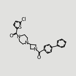 O=C(c1ccc(-c2ccccc2)cc1)N1CC(N2CCN(C(=O)c3ccc(Cl)s3)CC2)C1